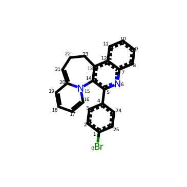 Brc1ccc(-c2nc3ccccc3c3c2N2C=CC=CC2=CCC3)cc1